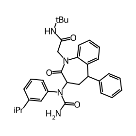 CC(C)c1cccc(N(C(N)=O)C2CC(c3ccccc3)c3ccccc3N(CC(=O)NC(C)(C)C)C2=O)c1